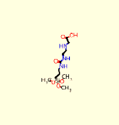 CO[Si](CCCNC(=O)NCCNCC(=O)O)(OC)OC